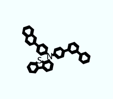 c1ccc(-c2cccc(-c3ccc(N(c4ccc(-c5ccc6ccccc6c5)cc4)c4cccc5c4sc4ccccc45)cc3)c2)cc1